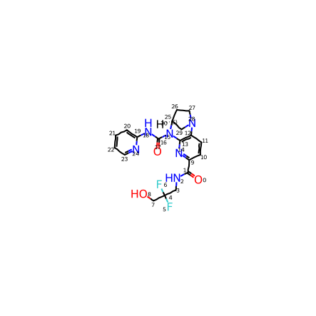 O=C(NCC(F)(F)CO)c1ccc2c(n1)N(C(=O)Nc1ccccn1)[C@H]1CCN2C1